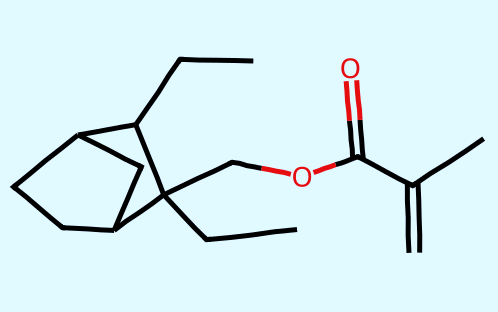 C=C(C)C(=O)OCC1(CC)C2CCC(C2)C1CC